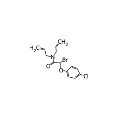 C=CCN(CC=C)C(=O)C(Br)Oc1ccc(Cl)cc1